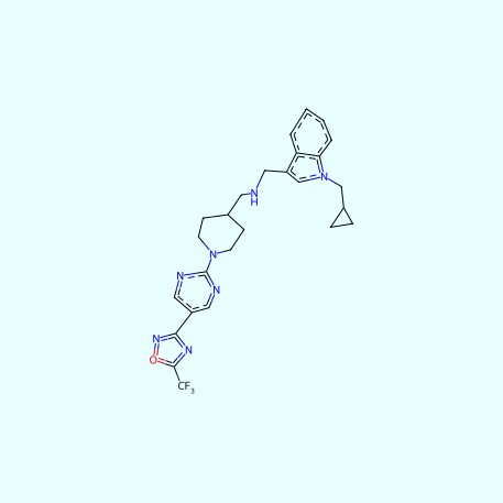 FC(F)(F)c1nc(-c2cnc(N3CCC(CNCc4cn(CC5CC5)c5ccccc45)CC3)nc2)no1